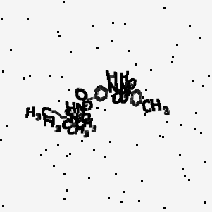 CCCSN(C(=O)NOC(=O)c1ccc(NC(=O)NS(=O)(=O)c2ccc(C)cc2)cc1)C(C)(C)C